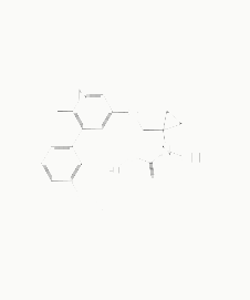 CN(C(=O)OC(C)(C)C)C1(COc2cnc(F)c(-c3cccc(C(=O)O)c3)c2)CC1